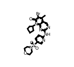 Cc1c(Br)c(=O)n(C2CCCC2)c2nc(Nc3ccc(S(=O)(=O)N4CCOCC4)cn3)ncc12